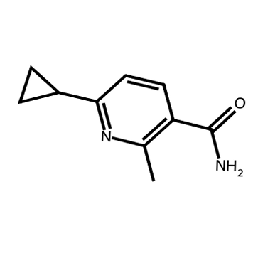 Cc1nc(C2CC2)ccc1C(N)=O